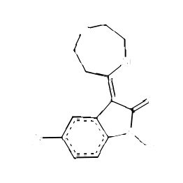 CC(C)N1C(=O)/C(=C2/CCOCCN2)c2cc([N+](=O)[O-])ccc21